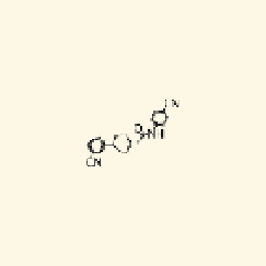 N#Cc1ccc(NC(=O)C[C@H]2CC[C@H](c3cccc(C#N)c3)CC2)cc1